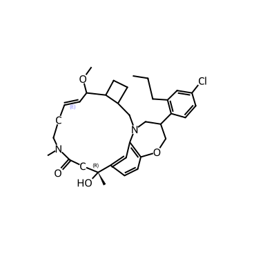 CCCc1cc(Cl)ccc1C1COc2ccc3cc2N(C1)CC1CCC1C(OC)/C=C/CCN(C)C(=O)C[C@@]3(C)O